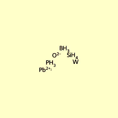 B.P.[O-2].[Pb+2].[SiH4].[W]